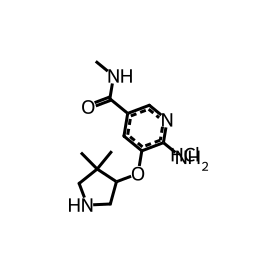 CNC(=O)c1cnc(N)c(OC2CNCC2(C)C)c1.Cl